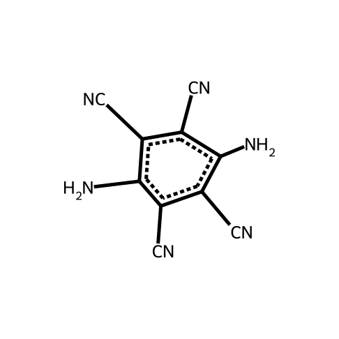 N#Cc1c(N)c(C#N)c(C#N)c(N)c1C#N